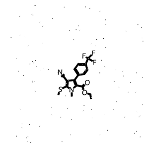 CCOC(=O)c1c(-c2ccc(C(F)(F)F)cc2)c(C#N)c(SC)n1C